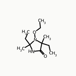 CCON1C(C)(CC)NC(=O)C1(C)CC